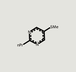 CCCc1ncc(SC)cn1